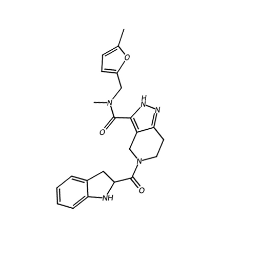 Cc1ccc(CN(C)C(=O)c2[nH]nc3c2CN(C(=O)C2Cc4ccccc4N2)CC3)o1